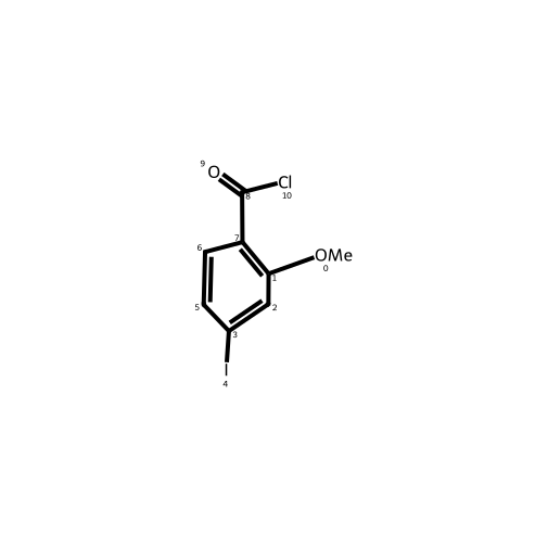 COc1cc(I)ccc1C(=O)Cl